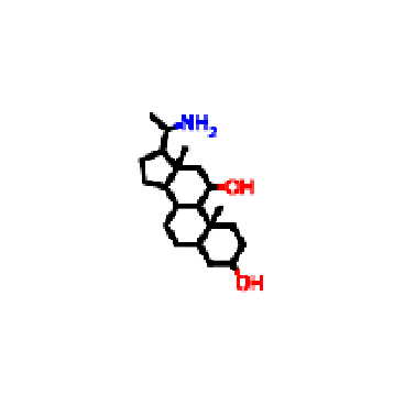 CC(N)C1CCC2C3CCC4CC(O)CCC4(C)C3C(O)CC12C